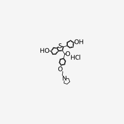 Cl.O=C(c1ccc(OCCN2CCCC2)cc1)c1c(-c2ccc(O)cc2)sc2cc(O)ccc12